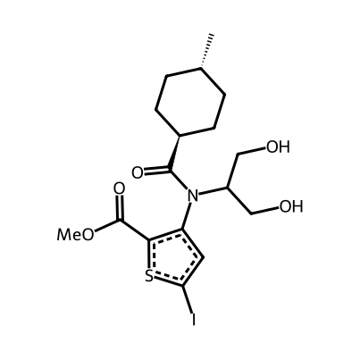 COC(=O)c1sc(I)cc1N(C(=O)[C@H]1CC[C@H](C)CC1)C(CO)CO